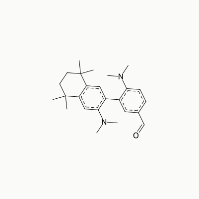 CN(C)c1ccc(C=O)cc1-c1cc2c(cc1N(C)C)C(C)(C)CCC2(C)C